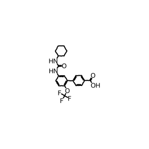 O=C(Nc1ccc(OC(F)(F)F)c(-c2ccc(C(=O)O)cc2)c1)NC1CCCCC1